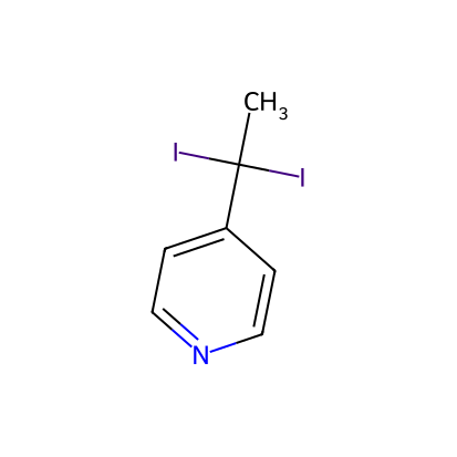 CC(I)(I)c1ccncc1